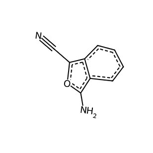 N#Cc1oc(N)c2ccccc12